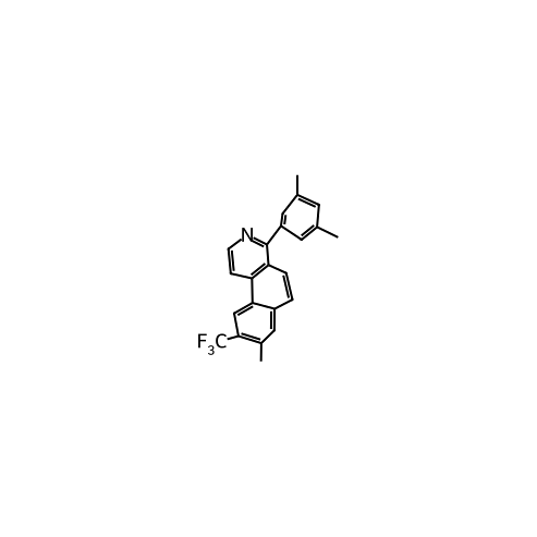 Cc1cc(C)cc(-c2nccc3c2ccc2cc(C)c(C(F)(F)F)cc23)c1